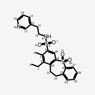 CCc1c(C)c(S(=O)(=O)NCCc2cccnc2)cc2c1CCc1ccccc1S2(=O)=O